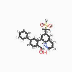 CC(C)(c1cc(-c2cc(-c3ccccc3)ccc2CO)c2ncccc2c1)S(C)(=O)=O